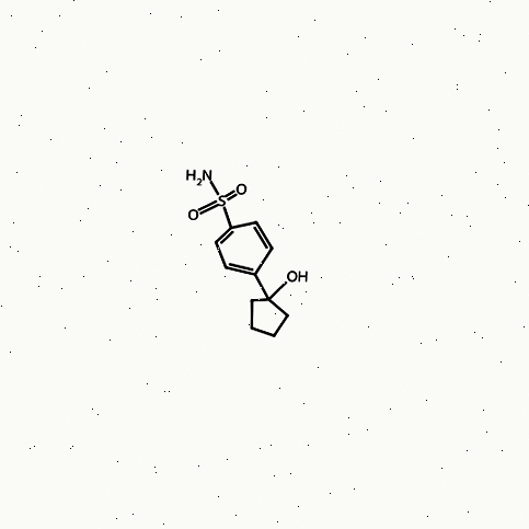 NS(=O)(=O)c1ccc(C2(O)CCCC2)cc1